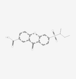 CCC(C)S(=O)(=O)c1ccc2c(=O)c3cc(C(=O)O)ccc3oc2c1